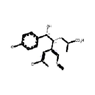 C=N/C=C(\C=C(/C)Cl)[C@@H](CC(C)C(=O)O)[C@@H](O)c1ccc(Cl)cc1